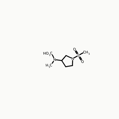 CN(C(=O)O)C1CCN(S(C)(=O)=O)C1